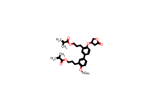 C=C(C)C(=O)OCCCc1cc(-c2ccc(OC3COC(=O)C3)c(CCCOC(=O)C(=C)C)c2)ccc1OCCCCCCCCCC